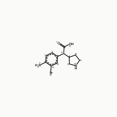 Nc1ccc(N(C(=O)O)C2CCNC2)cc1Br